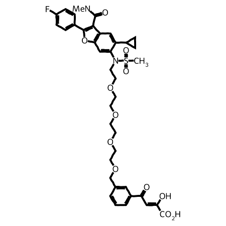 CNC(=O)c1c(-c2ccc(F)cc2)oc2cc(N(CCOCCOCCOCCOCc3cccc(C(=O)C=C(O)C(=O)O)c3)S(C)(=O)=O)c(C3CC3)cc12